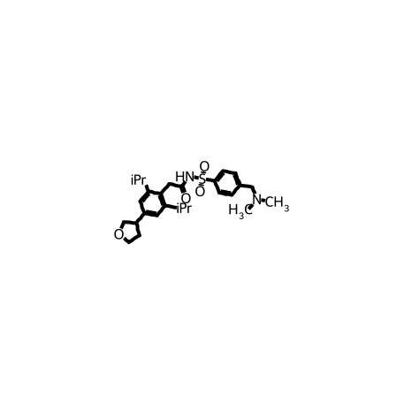 CC(C)c1cc(C2CCOC2)cc(C(C)C)c1CC(=O)NS(=O)(=O)c1ccc(CN(C)C)cc1